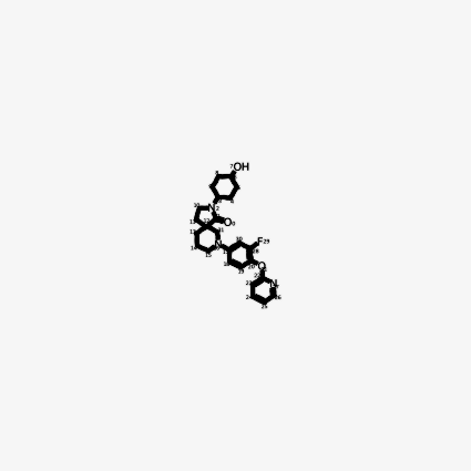 O=C1N(C2CCC(O)CC2)CCC12CCCN(c1ccc(Oc3ccccn3)c(F)c1)C2